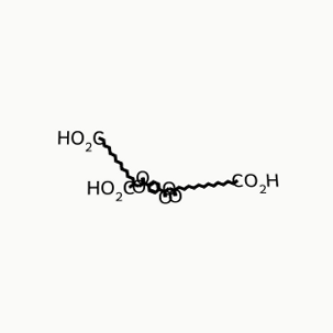 O=C(O)CCCCCCCCCCCCC(=O)OC(=O)c1ccc(C(=O)OC(CCCCCCCCCCCC(=O)O)C(=O)O)cc1